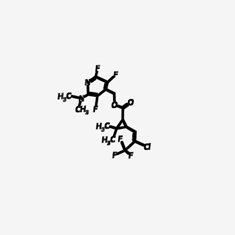 CN(C)c1nc(F)c(F)c(COC(=O)C2C(/C=C(/Cl)C(F)(F)F)C2(C)C)c1F